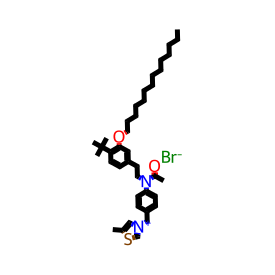 CCCCCCCCCCCCCCOc1cc(CCN(C(C)=O)c2ccc(C[n+]3csc(C)c3)cc2)ccc1C(C)(C)C.[Br-]